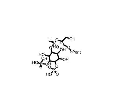 CCCCCOC[C@H](CO)OP(=O)(O)OC1C(O)C(O)C(OP(=O)(O)O)C(OP(=O)(O)O)C1O